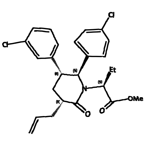 C=CC[C@@H]1C[C@H](c2cccc(Cl)c2)[C@@H](c2ccc(Cl)cc2)N([C@@H](CC)C(=O)OC)C1=O